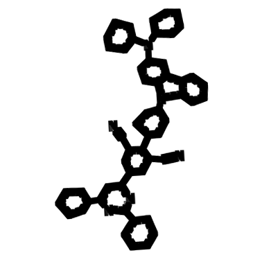 N#Cc1cc(-c2cc(-c3ccccc3)nc(-c3ccccc3)n2)cc(C#N)c1-c1ccc(-n2c3ccccc3c3cc(N(c4ccccc4)c4ccccc4)ccc32)cc1